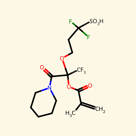 C=C(C)C(=O)OC(OCCC(F)(F)S(=O)(=O)O)(C(=O)N1CCCCC1)C(F)(F)F